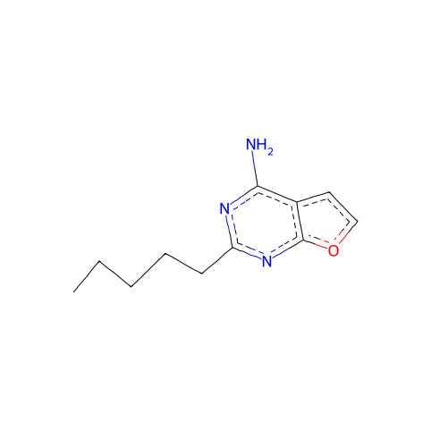 CCCCCc1nc(N)c2ccoc2n1